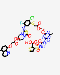 COC(=O)CSc1cc(/N=c2\sc(=O)n3n2CCCC3)c(F)cc1Cl.COc1nc(C)nc(NC(=O)NS(=O)(=O)c2ccsc2C(=O)O)n1.O=C(O)COc1ccc(Cl)c2cccnc12